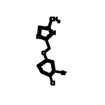 Cn1cnc(COc2ccc(Cl)c(Br)c2)n1